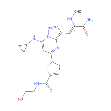 NC(=O)/C(=C/c1cnn2c(NC3CC3)cc(C3CC=C(C(=O)NCCO)S3)nc12)NC=O